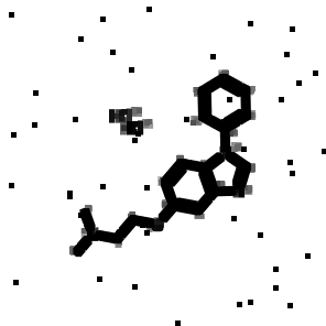 CN(C)CCOc1ccc2c(c1)ncn2-c1ccccc1.Cl.Cl